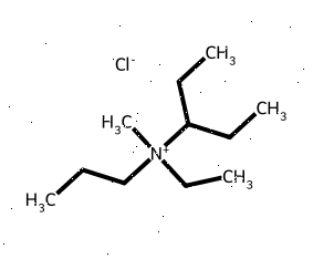 CCC[N+](C)(CC)C(CC)CC.[Cl-]